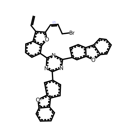 C=Cc1c(/C=C\CBr)oc2c(-c3nc(-c4ccc5c(c4)oc4ccccc45)nc(-c4ccc5c(c4)oc4ccccc45)n3)cccc12